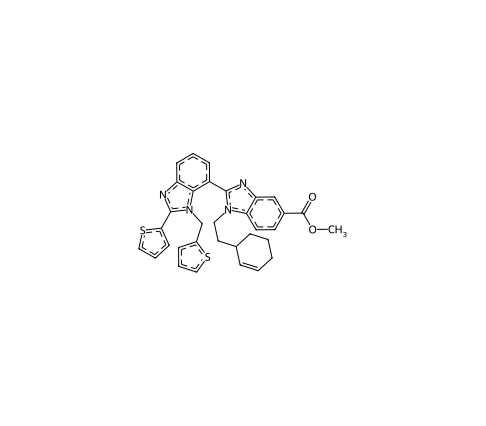 COC(=O)c1ccc2c(c1)nc(-c1cccc3nc(-c4cccs4)n(Cc4cccs4)c13)n2CCC1C=CCCC1